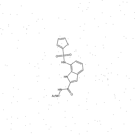 CC(=O)NNC(=O)c1cc2cccc(NS(=O)(=O)c3cccs3)c2[nH]1